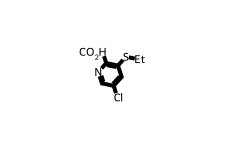 CCSc1cc(Cl)cnc1C(=O)O